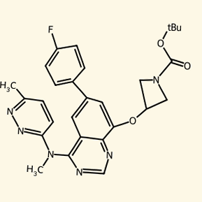 Cc1ccc(N(C)c2ncnc3c(OC4CN(C(=O)OC(C)(C)C)C4)cc(-c4ccc(F)cc4)cc23)nn1